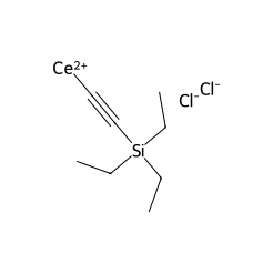 CC[Si](C#[C][Ce+2])(CC)CC.[Cl-].[Cl-]